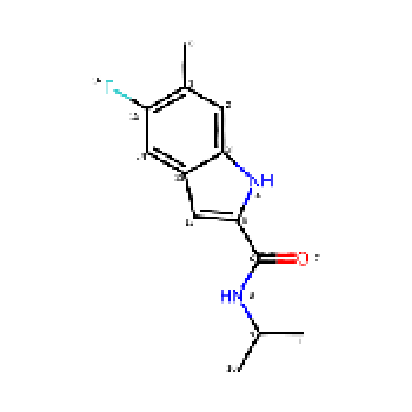 Cc1cc2[nH]c(C(=O)NC(C)C)cc2cc1F